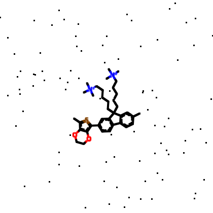 Cc1ccc2c(c1)C(CCCCC[N+](C)(C)C)(CCCCC[N+](C)(C)C)c1cc(-c3sc(C)c4c3OCCO4)ccc1-2